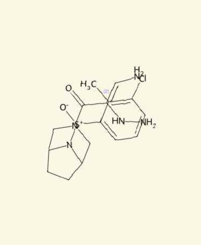 Cc1c(Cl)cccc1[S+]([O-])N1C2CCC1CN(C(=O)/C(=C/N)NN)C2